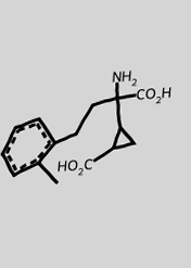 Cc1ccccc1CCC(N)(C(=O)O)C1CC1C(=O)O